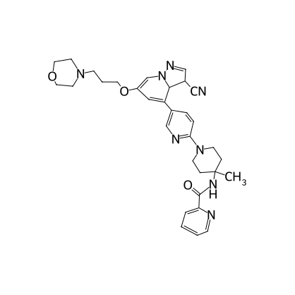 CC1(NC(=O)c2ccccn2)CCN(c2ccc(C3=CC(OCCCN4CCOCC4)=CN4N=CC(C#N)C34)cn2)CC1